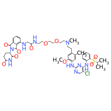 COc1cc(CCN(C)CCOCCOCCNC(=O)CNc2cccc3c2C(=O)N(C2CCC(=O)NC2=O)C3=O)c(C)cc1Nc1ncc(Cl)c(Nc2ccccc2S(=O)(=O)C(C)C)n1